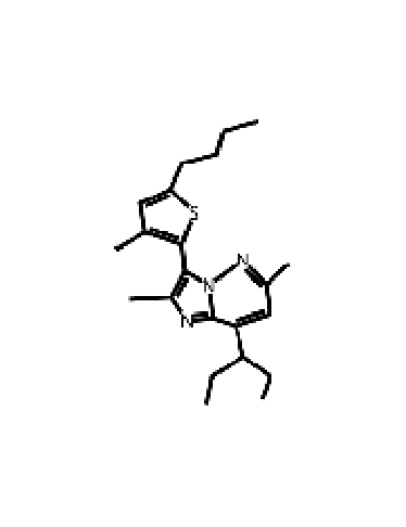 CCCCc1cc(C)c(-c2c(C)nc3c(C(CC)CC)cc(C)nn23)s1